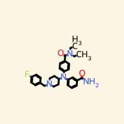 CCN(CC)C(=O)c1ccc(N(c2cccc(C(N)=O)c2)C2CCN(Cc3ccc(F)cc3)CC2)cc1